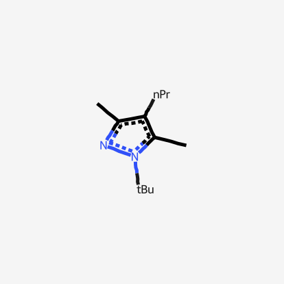 CCCc1c(C)nn(C(C)(C)C)c1C